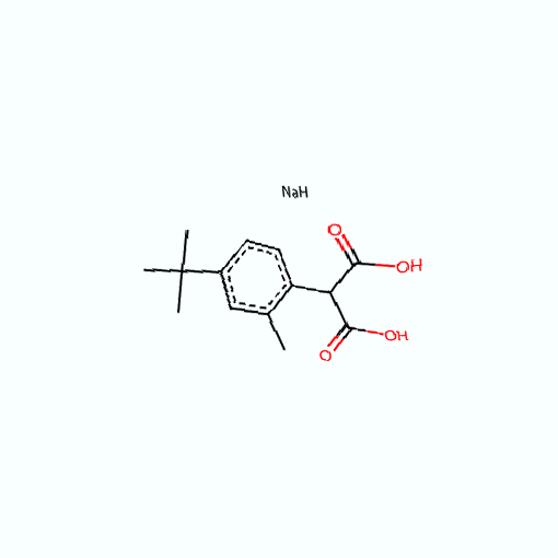 Cc1cc(C(C)(C)C)ccc1C(C(=O)O)C(=O)O.[NaH]